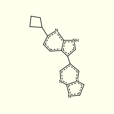 c1cn2cc(-c3c[nH]c4nc(C5CCC5)ccc34)cnc2n1